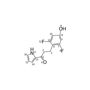 O=C(CCc1c(F)cc(O)cc1F)c1ccc[nH]1